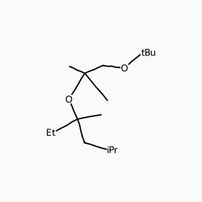 CCC(C)(CC(C)C)OC(C)(C)COC(C)(C)C